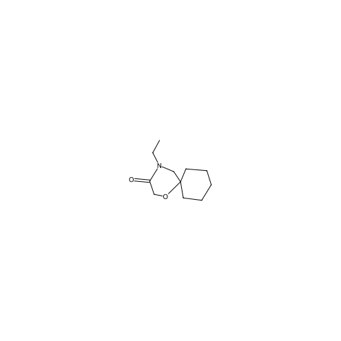 CCN1CC2(CCCCC2)OCC1=O